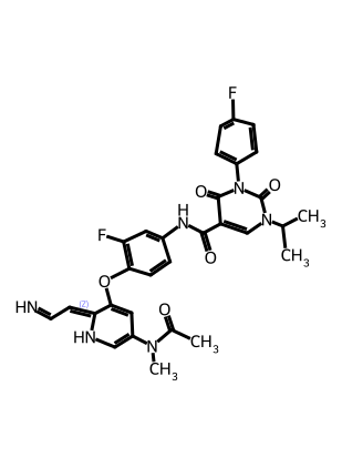 CC(=O)N(C)C1=CN/C(=C\C=N)C(Oc2ccc(NC(=O)c3cn(C(C)C)c(=O)n(-c4ccc(F)cc4)c3=O)cc2F)=C1